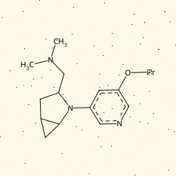 CC(C)Oc1cncc(N2C(CN(C)C)CC3CC32)c1